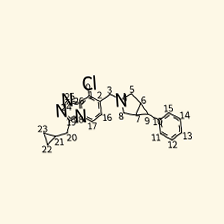 Clc1c(CN2CC3C(C2)C3c2ccccc2)ccn2c(CC3CC3)nnc12